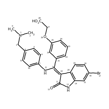 CN(C)Cc1ccc(N/C(=C2\C(=O)Nc3cc(Br)ccc32)c2cccc(OCC(=O)O)c2)cc1